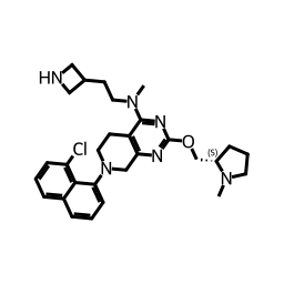 CN(CCC1CNC1)c1nc(OC[C@@H]2CCCN2C)nc2c1CCN(c1cccc3cccc(Cl)c13)C2